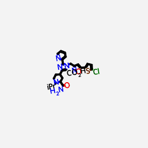 CC(C)N1CCC(c2nc(-c3ccccn3)n(Cc3cc(-c4ccc(Cl)s4)on3)c2C(=O)O)CC1C(N)=O